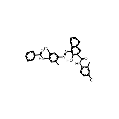 Cc1cc(NC(=O)c2ccccc2)c(Cl)cc1/N=N/c1c(O)c(C(=O)Nc2ccc(Cl)cc2C)cc2ccccc12